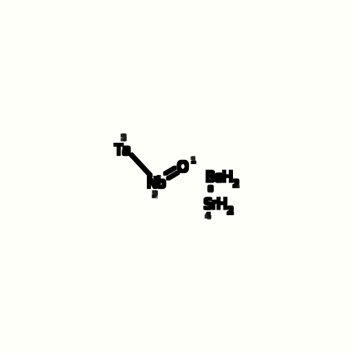 [BeH2].[O]=[Nb][Ta].[SrH2]